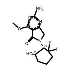 COc1nc(N)nc2c1C(=O)N([C@H]1[C@@H](O)CCCC1(F)F)C2